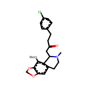 COc1c2c(cc3c1C(CC(=O)CCc1ccc(Cl)cc1)N(C)CC3)OCO2